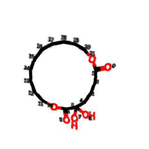 O=C1CCCC(O)(O)C(=O)OCCCCCCCCCCO1